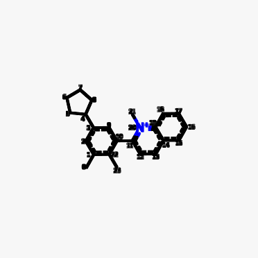 Cc1cc(C2CCCC2)cc(-c2ccc3ccccc3[n+]2C)c1C